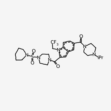 CC(C)N1CCN(C(=O)c2ccc3c(c2)cc(C(=O)N2CCN(S(=O)(=O)N4CCCCC4)CC2)n3CC(F)(F)F)CC1